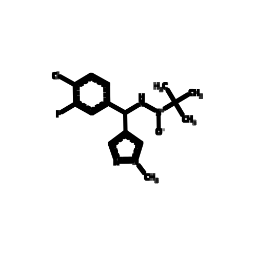 Cn1cc(C(N[S+]([O-])C(C)(C)C)c2ccc(Cl)c(F)c2)cn1